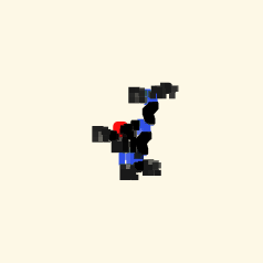 CCCN(CC)CCCN(CCCNC(CC)CC)C[SiH2]OC(CC)CC